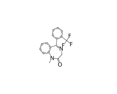 CN1C(=O)CN=C(c2ccccc2C(F)(F)F)c2ccccc21